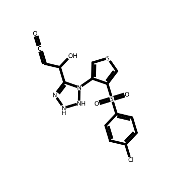 O=C=CC(O)C1=NNNN1c1cscc1S(=O)(=O)c1ccc(Cl)cc1